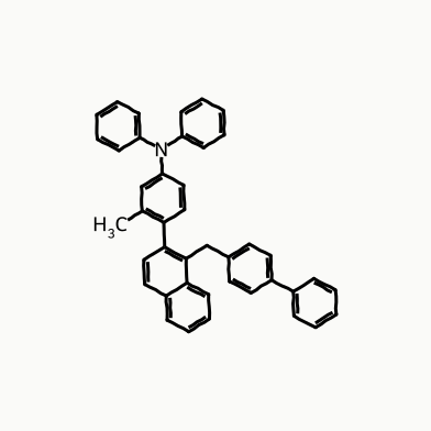 Cc1cc(N(c2ccccc2)c2ccccc2)ccc1-c1ccc2ccccc2c1Cc1ccc(-c2ccccc2)cc1